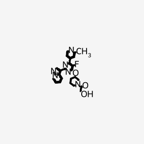 Cc1cc(-c2nc(-c3cnn4ccccc34)nc(O[C@@H]3CCCN(C(=O)CO)C3)c2F)ccn1